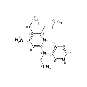 CCCc1nc(N(CC)c2cnccn2)nc(N)c1CC